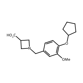 COc1cc(CN2CC(C(=O)O)C2)ccc1OC1CCCC1